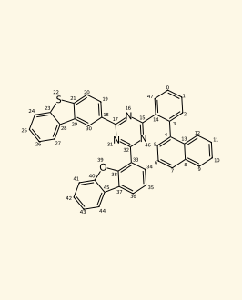 c1ccc(-c2cccc3ccccc23)c(-c2nc(-c3ccc4sc5ccccc5c4c3)nc(-c3cccc4c3oc3ccccc34)n2)c1